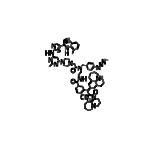 Cc1nc(Nc2ncc(C(=O)Nc3c(C)cccc3Cl)s2)cc(N2CCN(CC(=O)N(CCNC(=O)c3ccc(C(=O)O)c(C4=c5cc6c7c(c5Oc5c4cc4c8c5CCCN8CCCC4)CCC[N+]=7CCCC6)c3)Cc3ccc(N=[N+]=[N-])cc3)CC2)n1